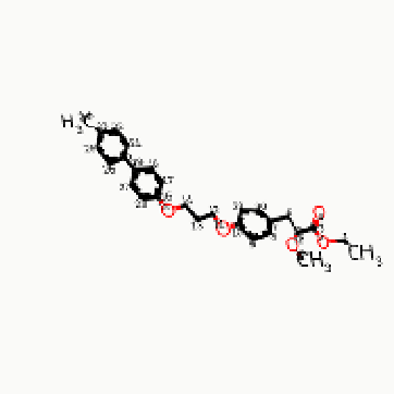 CCOC(=O)[C@H](Cc1ccc(OCCCOc2ccc(-c3ccc(C)cc3)cc2)cc1)OC